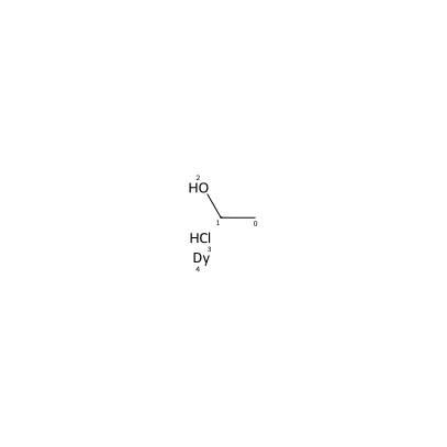 CCO.Cl.[Dy]